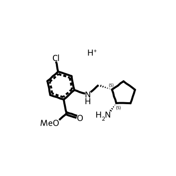 COC(=O)c1ccc(Cl)cc1NC[C@@H]1CCC[C@@H]1N.[H+]